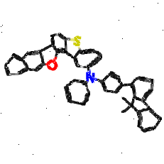 CC1(C)c2ccccc2-c2cccc(-c3ccc(N(c4ccccc4)c4ccc5sc6ccc7c8cc9ccccc9cc8oc7c6c5c4)cc3)c21